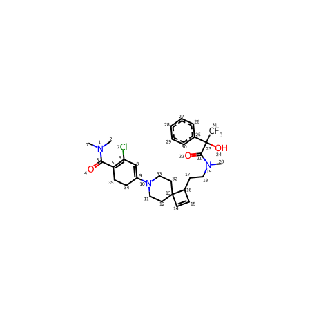 CN(C)C(=O)C1=C(Cl)C=C(N2CCC3(C=CC3CCN(C)C(=O)C(O)(c3ccccc3)C(F)(F)F)CC2)CC1